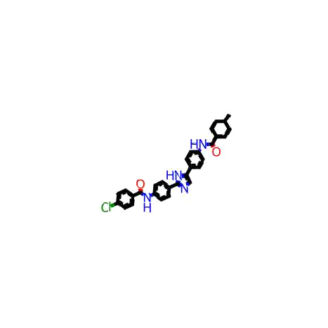 CC1CCC(C(=O)Nc2ccc(-c3cnc(-c4ccc(NC(=O)c5ccc(Cl)cc5)cc4)[nH]3)cc2)CC1